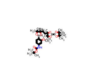 COc1cc(NC(=O)OC(C)(C)C)ccc1B1OC(C)(C)C(C)(CCC2(C)OB(B3OC(C)(C)C(C)(C)O3)OC2(C)C)O1